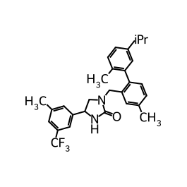 Cc1cc(C2CN(Cc3cc(C)ccc3-c3cc(C(C)C)ccc3C)C(=O)N2)cc(C(F)(F)F)c1